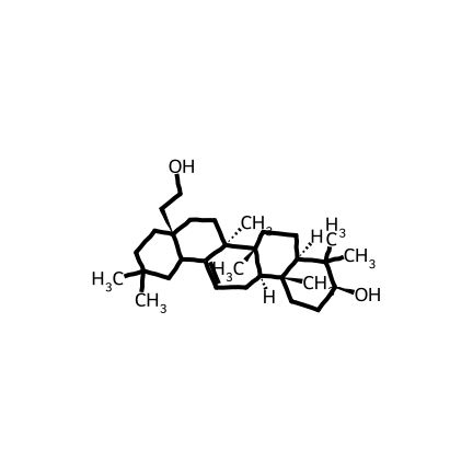 CC1(C)CC[C@]2(CCO)CC[C@]3(C)C(=CC[C@@H]4[C@@]5(C)CC[C@H](O)C(C)(C)[C@@H]5CC[C@]43C)C2C1